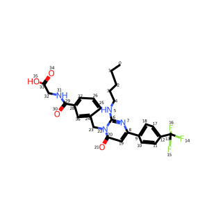 CCCCCNc1nc(-c2ccc(C(F)(F)F)cc2)cc(=O)n1Cc1cccc(C(=O)NCC(=O)O)c1